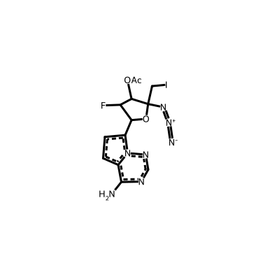 CC(=O)OC1C(F)C(c2ccc3c(N)ncnn23)OC1(CI)N=[N+]=[N-]